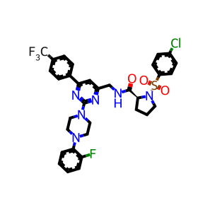 O=C(NCc1cc(-c2ccc(C(F)(F)F)cc2)nc(N2CCN(c3ccccc3F)CC2)n1)[C@@H]1CCCN1S(=O)(=O)c1ccc(Cl)cc1